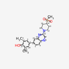 Cc1cc(-c2ccc3ncc(N4CCC(S(C)(=O)=O)CC4)nc3c2)cc(C)c1O